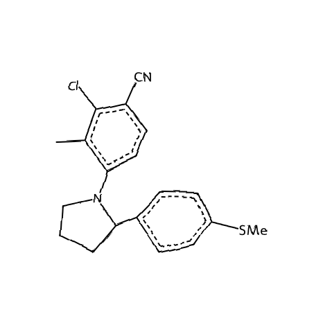 CSc1ccc(C2CCCN2c2ccc(C#N)c(Cl)c2C)cc1